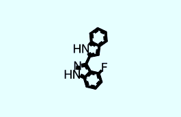 Fc1cccc2[nH]nc(-c3cc4ccccc4[nH]3)c12